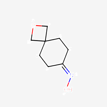 ON=C1CCC2(CC1)COC2